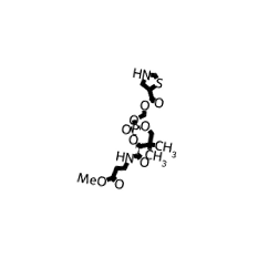 COC(=O)CCNC(=O)[C@@H]1OP(=O)(OCOC(=O)C2CNCS2)OCC1(C)C